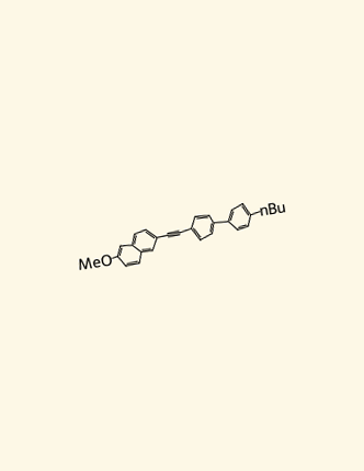 CCCCc1ccc(-c2ccc(C#Cc3ccc4cc(OC)ccc4c3)cc2)cc1